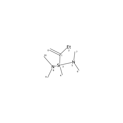 C=C(CC)[Si](C)(N(C)C)N(C)C